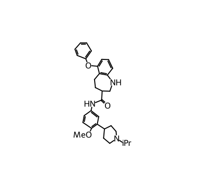 COc1ccc(NC(=O)C2CCc3c(cccc3Oc3ccccc3)NC2)cc1C1CCN(C(C)C)CC1